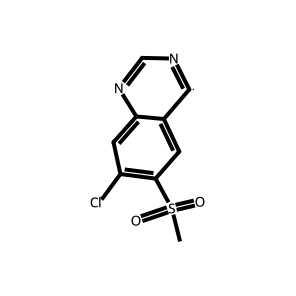 CS(=O)(=O)c1cc2[c]ncnc2cc1Cl